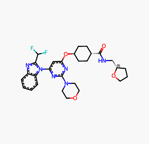 O=C(NC[C@@H]1CCCO1)[C@H]1CC[C@H](Oc2cc(-n3c(C(F)F)nc4ccccc43)nc(N3CCOCC3)n2)CC1